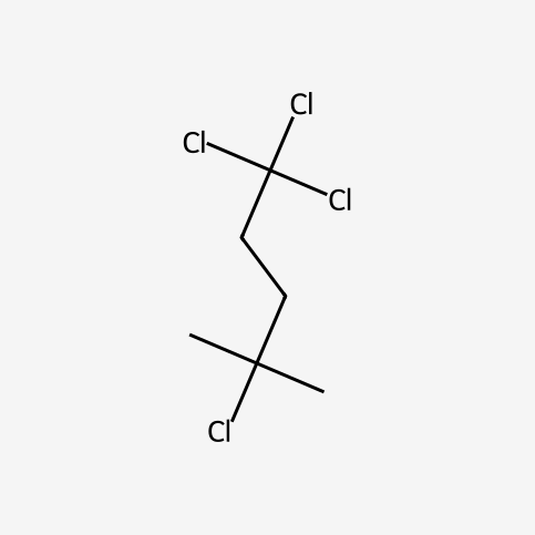 CC(C)(Cl)CCC(Cl)(Cl)Cl